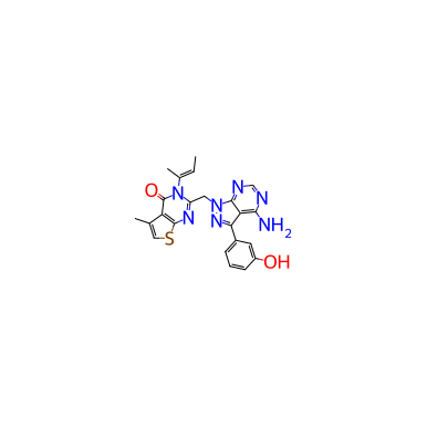 C/C=C(\C)n1c(Cn2nc(-c3cccc(O)c3)c3c(N)ncnc32)nc2scc(C)c2c1=O